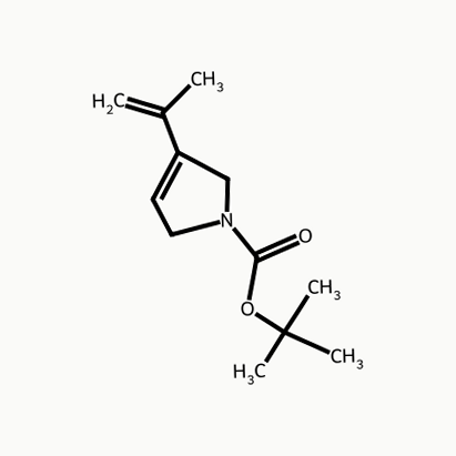 C=C(C)C1=CCN(C(=O)OC(C)(C)C)C1